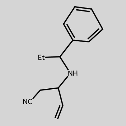 C=CC(CC#N)NC(CC)c1ccccc1